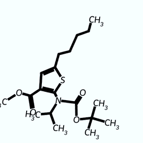 CCCCCc1cc(C(=O)OC)c(N(C(=O)OC(C)(C)C)C(C)C)s1